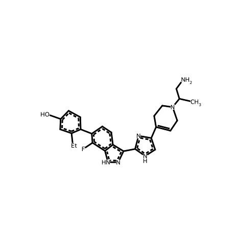 CCc1cc(O)ccc1-c1ccc2c(-c3nc(C4=CCN(C(C)CN)CC4)c[nH]3)n[nH]c2c1F